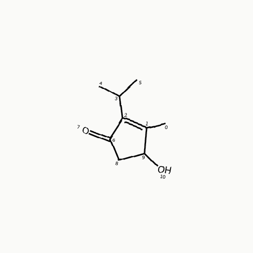 CC1=C(C(C)C)C(=O)CC1O